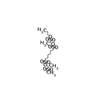 CCCOS(=O)(=O)C(C)OS(=O)(=O)CCCCCCS(=O)(=O)OC(C)S(C)(=O)=O